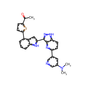 CC(=O)c1ccc(-c2cccc3[nH]c(-c4n[nH]c5ccc(-c6cncc(N(C)C)c6)nc45)cc23)s1